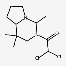 CC1N(C(=O)C(Cl)Cl)CC(C)(C)C2CCCN12